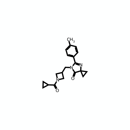 Cc1ccc(C2=NC3(CC3)C(=O)N2CC2CN(C(=O)C3CC3)C2)cc1